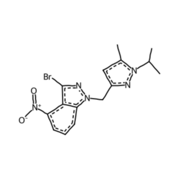 Cc1cc(Cn2nc(Br)c3c([N+](=O)[O-])cccc32)nn1C(C)C